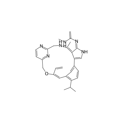 C=C/C1=C\c2cc(ccc2C(C)C)C2=CNC(=N/C(=C)NC)/C2=C(\C)NCc2nccc(n2)CO1